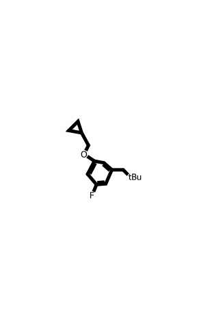 CC(C)(C)Cc1cc(F)cc(OCC2CC2)c1